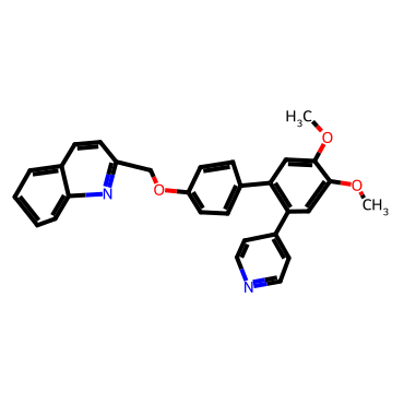 COc1cc(-c2ccncc2)c(-c2ccc(OCc3ccc4ccccc4n3)cc2)cc1OC